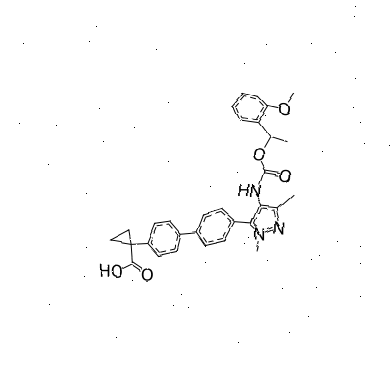 COc1ccccc1C(C)OC(=O)Nc1c(C)nn(C)c1-c1ccc(-c2ccc(C3(C(=O)O)CC3)cc2)cc1